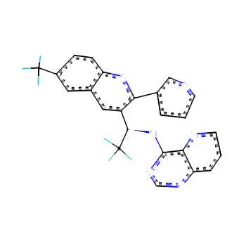 FC(F)(F)c1ccc2nc(-c3cccnc3)c([C@@H](Nc3ncnc4cccnc34)C(F)(F)F)cc2c1